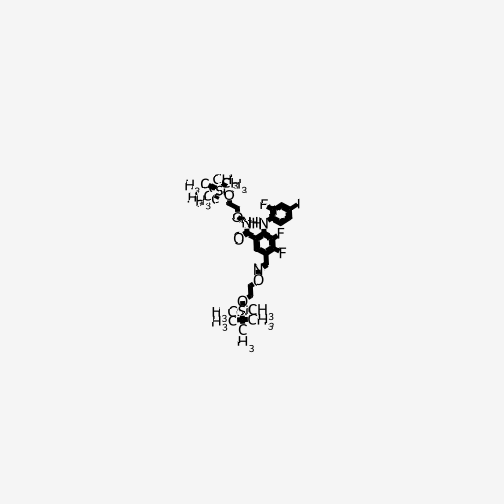 CC(C)(C)[Si](C)(C)OCCON=Cc1cc(C(=O)NOCCO[Si](C)(C)C(C)(C)C)c(Nc2ccc(I)cc2F)c(F)c1F